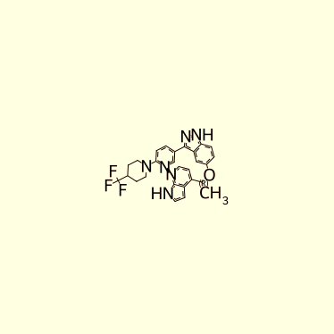 C[C@@H](Oc1ccc2[nH]nc(-c3ccc(N4CCC(C(F)(F)F)CC4)nc3)c2c1)c1ccnc2[nH]ccc12